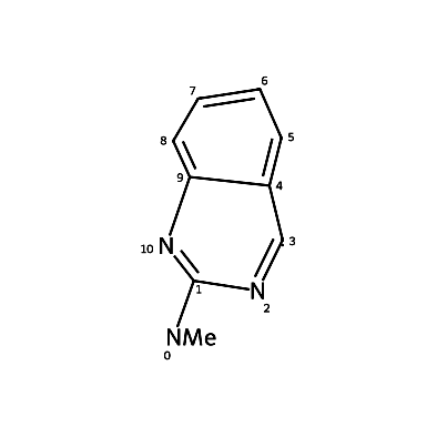 CNc1n[c]c2ccccc2n1